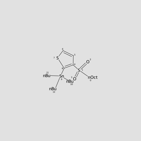 CCCCCCCCS(=O)(=O)c1ccs[c]1[Sn]([CH2]CCC)([CH2]CCC)[CH2]CCC